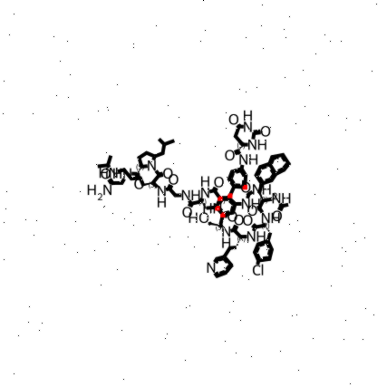 CC(=O)N[C@H](Cc1ccc2ccccc2c1)C(=O)N[C@H](Cc1ccc(Cl)cc1)C(=O)N[C@H](CCc1cccnc1)C(=O)N[C@@H](CO)C(=O)N[C@@H](Cc1ccc(NC(=O)[C@@H]2CC(=O)NC(=O)N2)cc1)C(=O)N[C@H](Cc1ccc(NC(N)=O)cc1)C(=O)NCC(=O)N[C@@H](CCCCNC(C)C)C(=O)N1C(CC(C)C)CC[C@H]1C(=O)NCC(N)=O